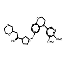 COc1cc(N2CCOc3ccc(O[C@H]4CCN(C(=N)CC5COCCO5)C4)cc32)cnc1OC